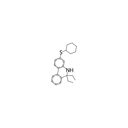 CCC1(CC)Nc2cc(SC3CCCCC3)ccc2-c2ccccc21